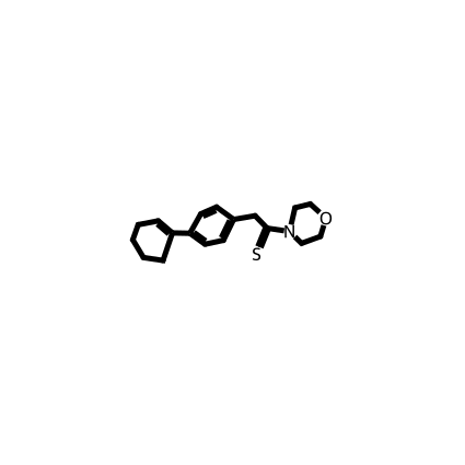 S=C(Cc1ccc(C2=CCCCC2)cc1)N1CCOCC1